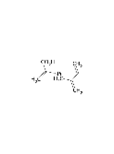 C=C(CCC)C(=O)O.C=CC(=C)C